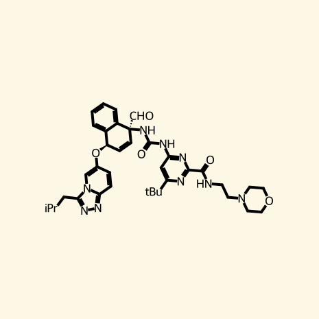 CC(C)Cc1nnc2ccc(O[C@@H]3C=C[C@](C=O)(NC(=O)Nc4cc(C(C)(C)C)nc(C(=O)NCCN5CCOCC5)n4)c4ccccc43)cn12